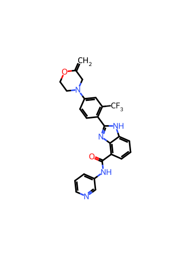 C=C1CN(c2ccc(-c3nc4c(C(=O)Nc5cccnc5)cccc4[nH]3)c(C(F)(F)F)c2)CCO1